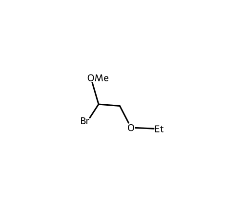 CCOCC(Br)OC